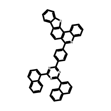 c1ccc2c(-c3nc(-c4ccc(-c5nc6ccccc6c6c5ccc5c7ccccc7oc56)cc4)nc(-c4cccc5ccccc45)n3)cccc2c1